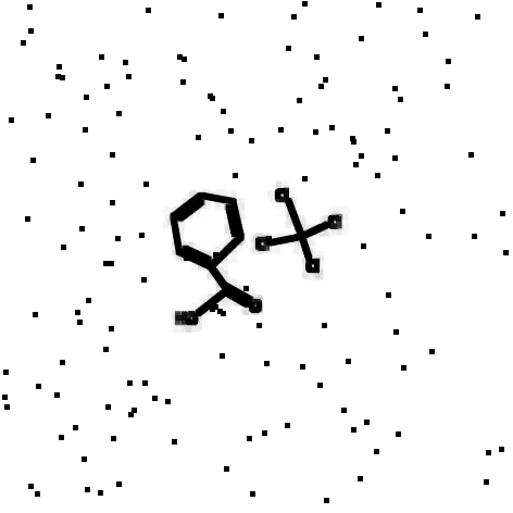 ClC(Cl)(Cl)Cl.O=C(O)c1ccccc1